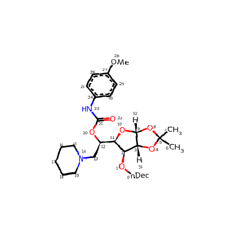 CCCCCCCCCCO[C@@H]1[C@H]2OC(C)(C)O[C@H]2O[C@@H]1[C@@H](CN1CCCCC1)OC(=O)Nc1ccc(OC)cc1